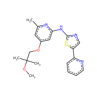 COC(C)(C)COc1cc(C)nc(Nc2ncc(-c3ccccn3)s2)c1